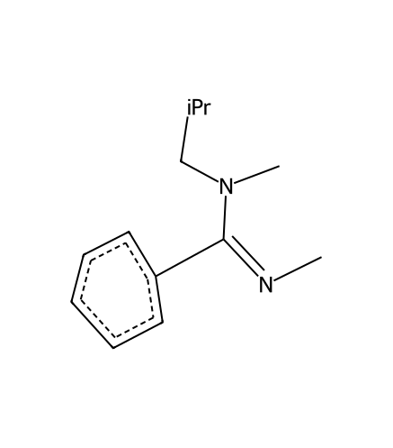 C/N=C(/c1ccccc1)N(C)CC(C)C